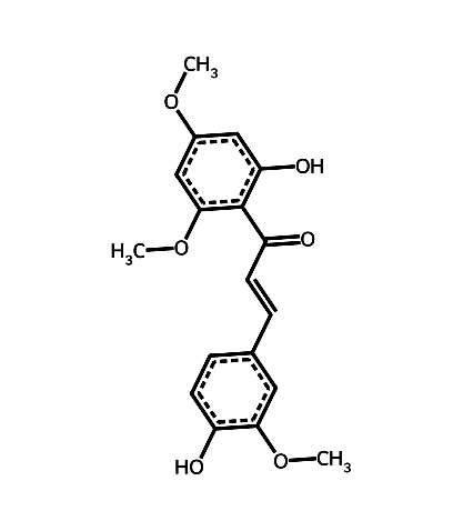 COc1cc(O)c(C(=O)C=Cc2ccc(O)c(OC)c2)c(OC)c1